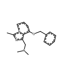 Cc1nc(CN(C)C)c2c(OCc3ccccc3)cccn12